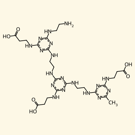 Cc1nc(NCCNc2nc(NCCNc3nc(NCCN)nc(NCCC(=O)O)n3)nc(NCCC(=O)O)n2)nc(NCCC(=O)O)n1